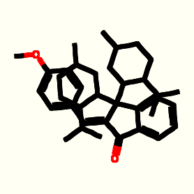 COc1ccc(/C=C2/C(=O)c3ccccc3C2(C2CC(C)CCC2C(C)C)C2CC(C)CCC2C(C)C)cc1